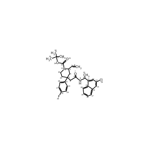 C=CC1CC(CC(=O)NC(C)c2cc(Cl)cc3ccccc23)(c2ccc(F)cc2)CCN1C(=O)OC(C)(C)C